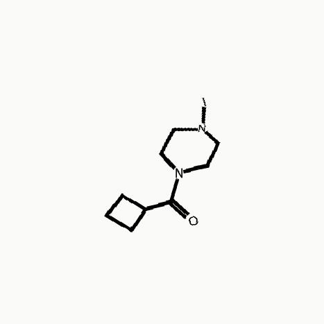 O=C(C1CCC1)N1CCN(I)CC1